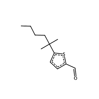 CCCCC(C)(C)c1ccc(C=O)s1